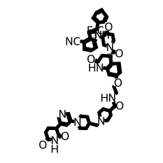 N#Cc1cccc2[nH]c(-c3ccccc3OC3(C(F)(F)F)CCN(C(=O)[C@H]4CC(=O)Nc5cc(OCCNC(=O)C6CCN(CC7CCN(c8cncc(C9CCC(=O)NC9=O)c8)CC7)CC6)ccc54)CC3)cc12